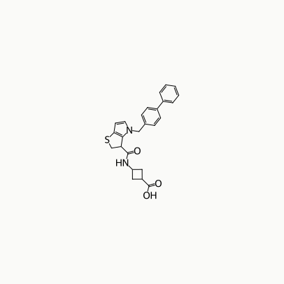 O=C(O)C1CC(NC(=O)C2CSc3ccn(Cc4ccc(-c5ccccc5)cc4)c32)C1